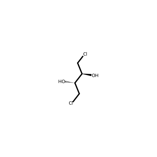 O[C@H](CCl)[C@@H](O)CCl